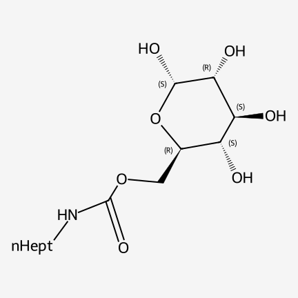 CCCCCCCNC(=O)OC[C@H]1O[C@H](O)[C@H](O)[C@@H](O)[C@@H]1O